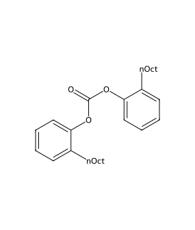 CCCCCCCCc1ccccc1OC(=O)Oc1ccccc1CCCCCCCC